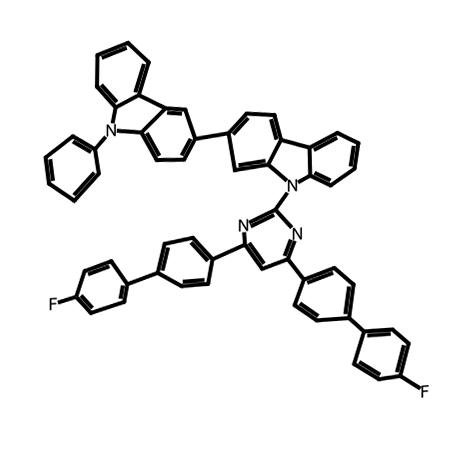 Fc1ccc(-c2ccc(-c3cc(-c4ccc(-c5ccc(F)cc5)cc4)nc(-n4c5ccccc5c5ccc(-c6ccc7c(c6)c6ccccc6n7-c6ccccc6)cc54)n3)cc2)cc1